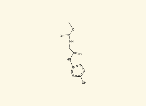 COC(=O)NCC(=O)Nc1ccc(O)cc1